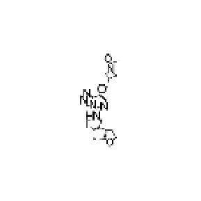 CC(=O)N1CC(COc2cnc(NCc3c(F)ccc4c3CCO4)n3cnnc23)C1